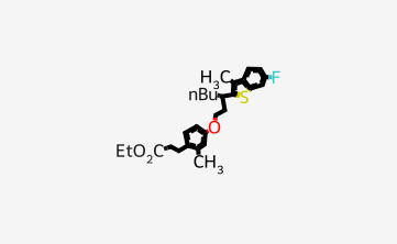 CCCCC(CCOc1ccc(CCC(=O)OCC)c(C)c1)c1sc2cc(F)ccc2c1C